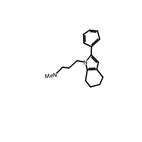 CNCCCn1c(-c2ccccc2)cc2c1CCCC2